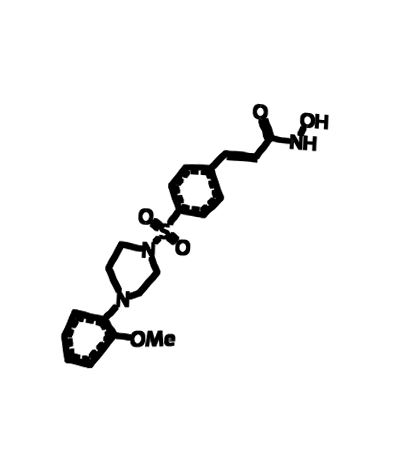 COc1ccccc1N1CCN(S(=O)(=O)c2ccc(C=CC(=O)NO)cc2)CC1